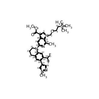 COC(=O)c1cn(COCC[Si](C)(C)C)c2c(C)nc(N3CCCc4cc(-c5cnn(C)c5)c(C(F)F)cc43)cc12